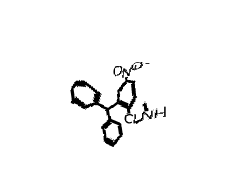 CNC.O=[N+]([O-])c1ccc(Cl)c(C(c2ccccc2)c2ccccc2)c1